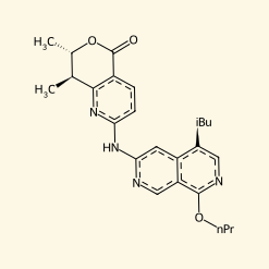 CCCOc1ncc([C@H](C)CC)c2cc(Nc3ccc4c(n3)[C@@H](C)[C@H](C)OC4=O)ncc12